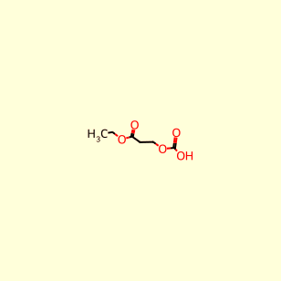 CCOC(=O)CCOC(=O)O